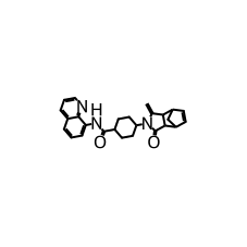 C=C1C2C3C=CC(C3)C2C(=O)N1C1CCC(C(=O)Nc2cccc3cccnc23)CC1